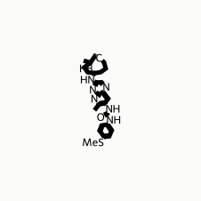 CSc1ccc(NC(=O)Nc2cc3ncc(NC45BC(C)(CCCCC4)CC5)nc3nc2C)cc1